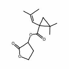 CC(C)=CC1(C(=O)OC2CCOC2=O)CC1(C)C